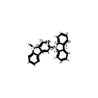 Cn1c2ccccc2c2cc(-n3c4ccccc4c4ccccc43)ncc21